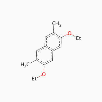 CCOc1cc2cc(OCC)c(C)cc2cc1C